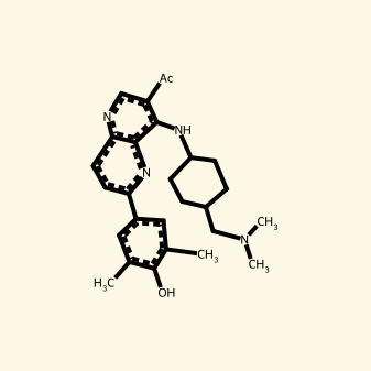 CC(=O)c1cnc2ccc(-c3cc(C)c(O)c(C)c3)nc2c1NC1CCC(CN(C)C)CC1